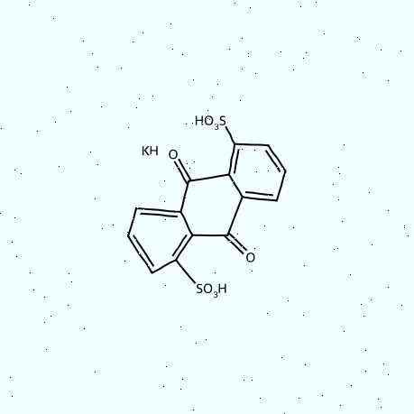 O=C1c2cccc(S(=O)(=O)O)c2C(=O)c2cccc(S(=O)(=O)O)c21.[KH]